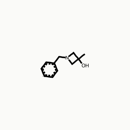 CC1(O)CN(Cc2cc[c]cc2)C1